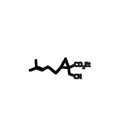 CCOC(=O)C1(CC#N)CC1CCC=C(C)C